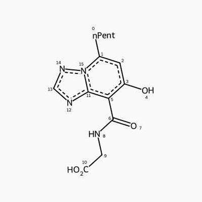 CCCCCc1cc(O)c(C(=O)NCC(=O)O)c2ncnn12